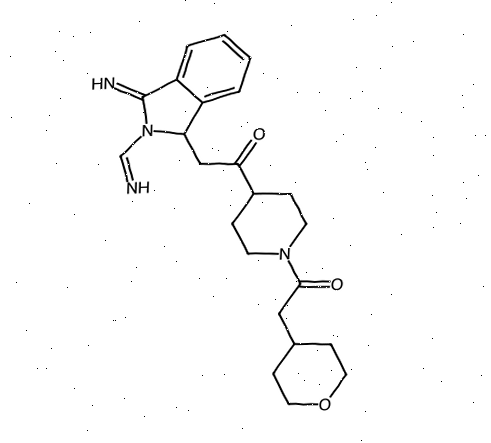 N=CN1C(=N)c2ccccc2C1CC(=O)C1CCN(C(=O)CC2CCOCC2)CC1